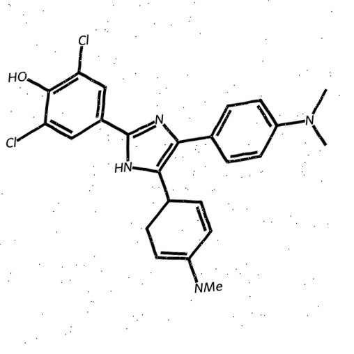 CNC1=CCC(c2[nH]c(-c3cc(Cl)c(O)c(Cl)c3)nc2-c2ccc(N(C)C)cc2)C=C1